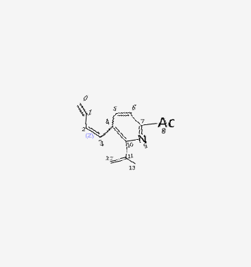 C=C/C=C\c1ccc(C(C)=O)nc1C(=C)C